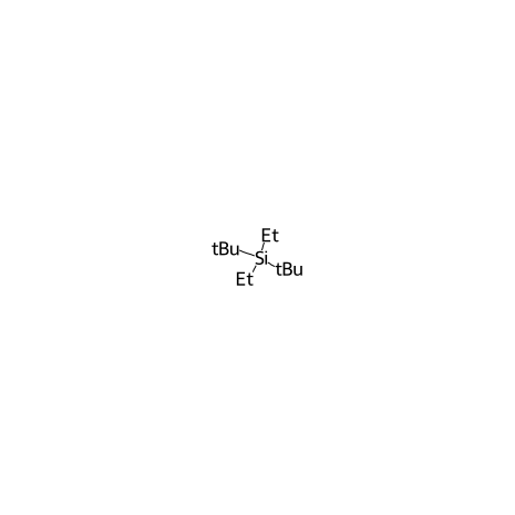 CC[Si](CC)(C(C)(C)C)C(C)(C)C